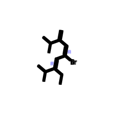 C=C(/C=C(Br)\C=C(/CC)C(C)C)C(C)C